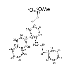 COC(=O)CCc1ccc(OCCc2ccccc2)c(-c2ccc3ccccc3c2)c1